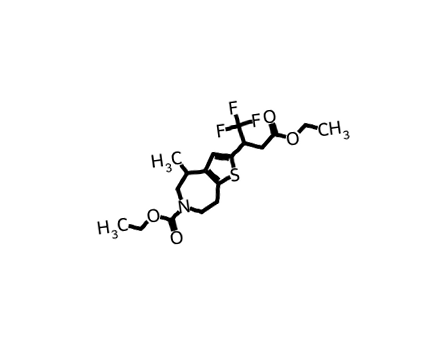 CCOC(=O)CC(c1cc2c(s1)CCN(C(=O)OCC)CC2C)C(F)(F)F